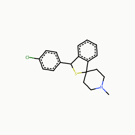 CN1CCC2(CC1)SC(c1ccc(Cl)cc1)c1ccccc12